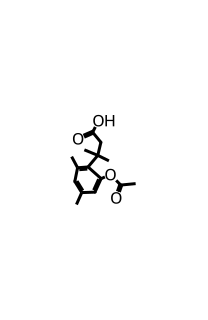 CC(=O)Oc1cc(C)cc(C)c1C(C)(C)CC(=O)O